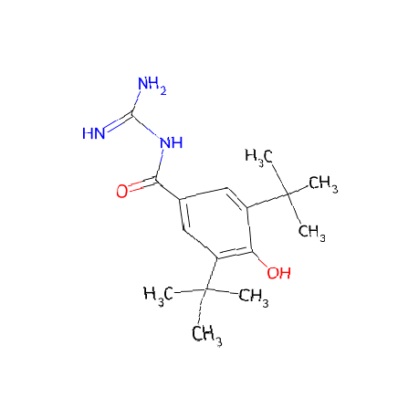 CC(C)(C)c1cc(C(=O)NC(=N)N)cc(C(C)(C)C)c1O